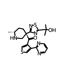 C[C@@H]1CC[C@](C(=O)c2cscc2-c2ncccn2)(c2nsc(C(C)(C)O)n2)CN1